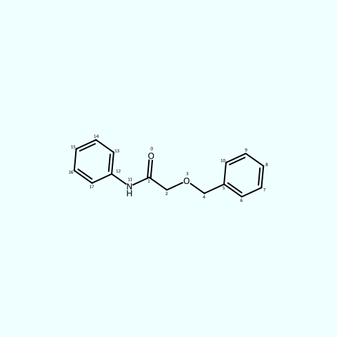 O=C(COCc1ccccc1)Nc1ccccc1